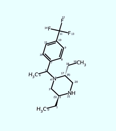 CC[C@H]1CN(C(C)c2ccc(C(F)(F)F)cc2)[C@H](CC)CN1